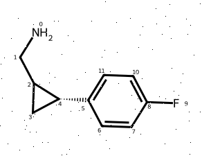 NCC1C[C@H]1c1ccc(F)cc1